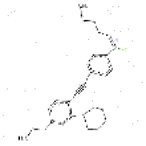 CCCC/C=C(/F)c1ccc(C#Cc2ccc(CCC)cc2C2CCCCC2)cc1